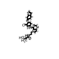 CC(C)(CO)C(=O)NCCn1ccc2ncnc(Nc3ccc(Oc4ccc5ccsc5c4)c(Cl)c3)c21